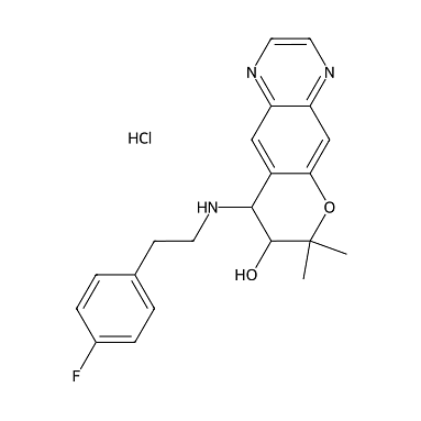 CC1(C)Oc2cc3nccnc3cc2C(NCCc2ccc(F)cc2)C1O.Cl